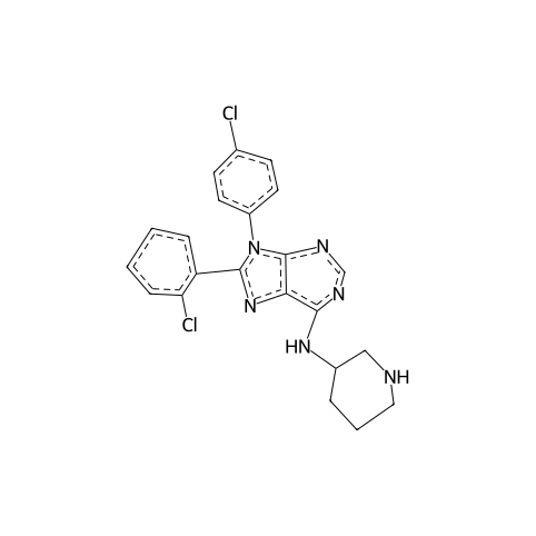 Clc1ccc(-n2c(-c3ccccc3Cl)nc3c(NC4CCCNC4)ncnc32)cc1